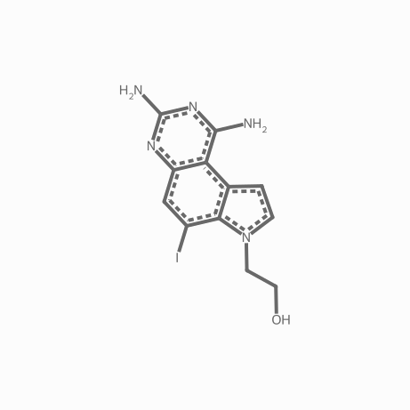 Nc1nc(N)c2c(cc(I)c3c2ccn3CCO)n1